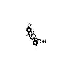 COc1ccc([C@H](C)N2CC[C@@](CCCO)(c3ccc(F)cc3)OC2=O)cc1